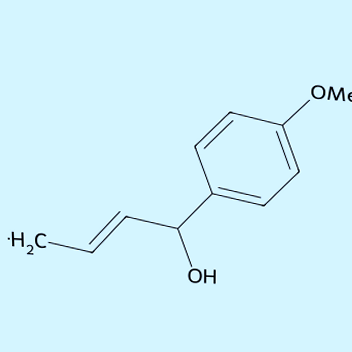 [CH2]C=CC(O)c1ccc(OC)cc1